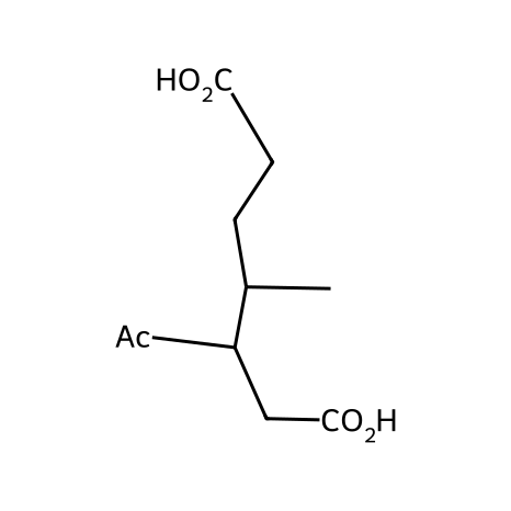 CC(=O)C(CC(=O)O)C(C)CCC(=O)O